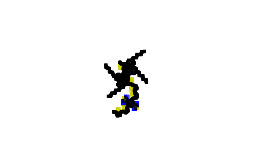 CCCCCCc1ccc(C2(c3ccc(CCCCCC)cc3)c3cc4c(cc3-c3sc(C)cc32)C(c2ccc(CCCCCC)cc2)(c2ccc(CCCCCC)cc2)c2cc(-c3ccc(-c5ccc(-c6c7c(c(-c8ccc(-c9ccc(C)s9)s8)c8nsnc68)N=S=N7)s5)s3)sc2-4)cc1